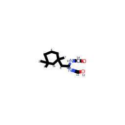 CC1(C)CCCC(C)(CC(N=C=O)N=C=O)C1